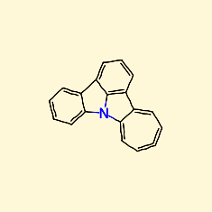 C1=CC=c2c(n3c4ccccc4c4cccc2c43)=CC=1